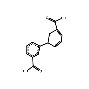 O=C(O)C1=CC=CC(c2cccc(C(=O)O)c2)C1